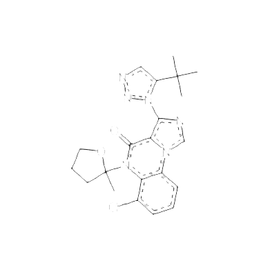 CC(C)(C)c1cnnn1-c1ncn2c1c(=O)n(C1(C)CCCO1)c1c(Cl)cccc12